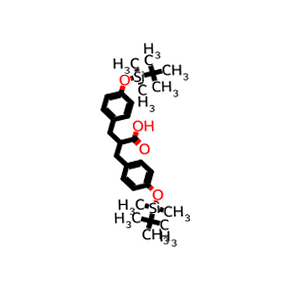 CC(C)(C)[Si](C)(C)Oc1ccc(CC(Cc2ccc(O[Si](C)(C)C(C)(C)C)cc2)C(=O)O)cc1